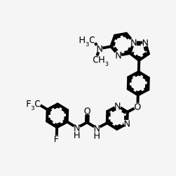 CN(C)c1ccn2ncc(-c3ccc(Oc4ncc(NC(=O)Nc5ccc(C(F)(F)F)cc5F)cn4)cc3)c2n1